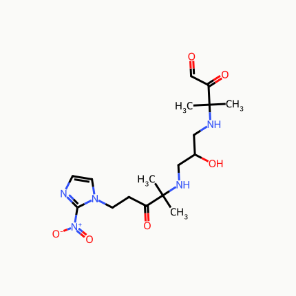 CC(C)(NCC(O)CNC(C)(C)C(=O)CCn1ccnc1[N+](=O)[O-])C(=O)C=O